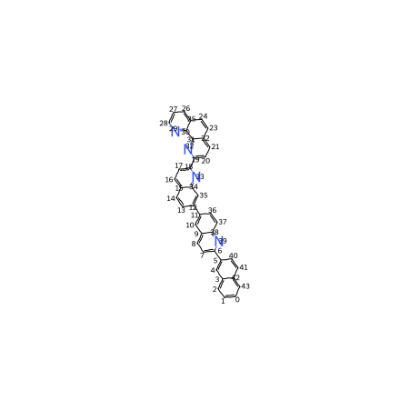 c1ccc2cc(-c3ccc4cc(-c5ccc6ccc(-c7ccc8ccc9cccnc9c8n7)nc6c5)ccc4n3)ccc2c1